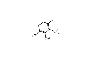 CC1=C(C(F)(F)F)C(O)=C(C(C)C)CC1